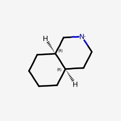 C1CC[C@H]2C[N]CC[C@H]2C1